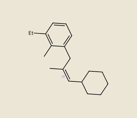 CCc1cccc(C/C(C)=C\C2CCCCC2)c1C